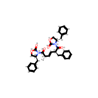 C[C@@H](C=C[C@H](Cc1ccccc1)C(=O)N1C(=O)OC[C@@H]1Cc1ccccc1)C(=O)N1C(=O)OC[C@@H]1Cc1ccccc1